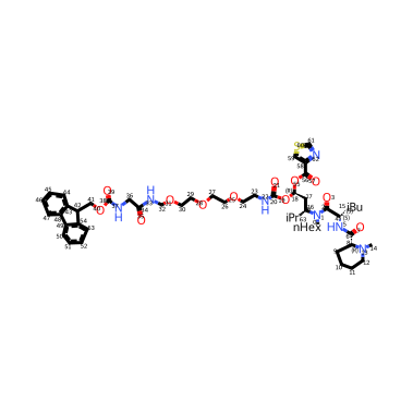 CCCCCCN(C(=O)[C@@H](NC(=O)[C@H]1CCCCN1C)[C@@H](C)CC)[C@H](C[C@@H](OC(=O)NCCOCCOCCOCNC(=O)CNC(=O)OCC1c2ccccc2-c2ccccc21)OC(=O)c1cscn1)C(C)C